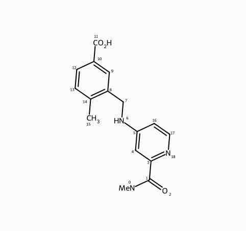 CNC(=O)c1cc(NCc2cc(C(=O)O)ccc2C)ccn1